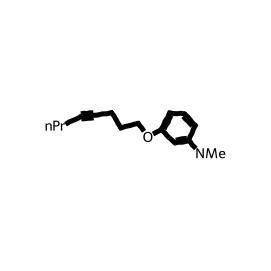 CCCC#CCCCOc1cccc(NC)c1